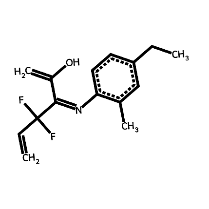 C=CC(F)(F)/C(=N/c1ccc(CC)cc1C)C(=C)O